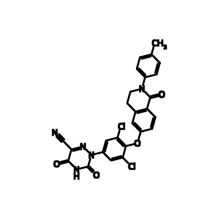 Cc1ccc(N2CCc3cc(Oc4c(Cl)cc(-n5nc(C#N)c(=O)[nH]c5=O)cc4Cl)ccc3C2=O)cc1